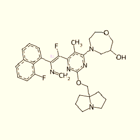 C=N/C(=C(/F)c1nc(OCC23CCCN2CCC3)nc(N2CCOCC(O)C2)c1C)c1cccc2cccc(F)c12